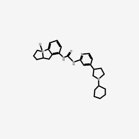 O=C(Nc1cc(C2CCN(C3CCCCC3)C2)ccn1)Nc1cccc2c1CC1CCC[N+]21[O-]